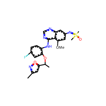 COc1cc(N=S(C)(C)=O)cc2ncnc(Nc3ccc(F)cc3OC(C)c3cc(C)no3)c12